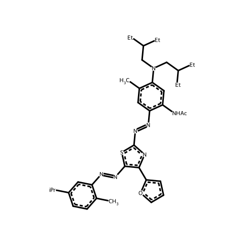 CCC(CC)CN(CC(CC)CC)c1cc(NC(C)=O)c(/N=N/c2nc(-c3ccco3)c(N=Nc3cc(C(C)C)ccc3C)s2)cc1C